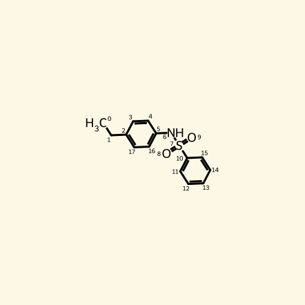 CCc1ccc(NS(=O)(=O)c2ccccc2)cc1